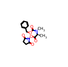 C[C@@H](C(=O)ON1C(=O)CCC1=O)N(C)C(=O)OCc1ccccc1